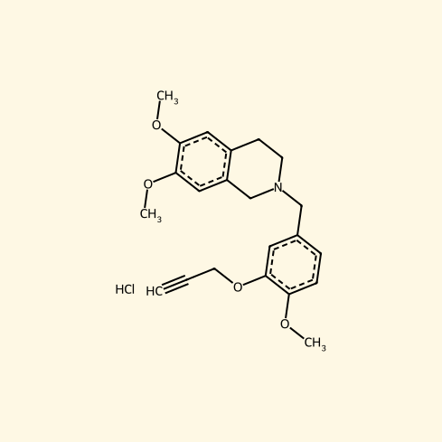 C#CCOc1cc(CN2CCc3cc(OC)c(OC)cc3C2)ccc1OC.Cl